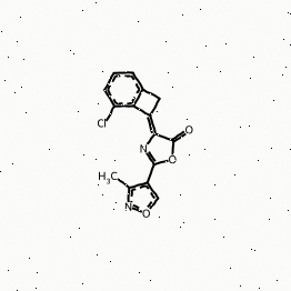 Cc1nocc1C1=NC(=C2Cc3cccc(Cl)c32)C(=O)O1